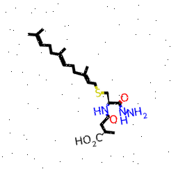 CC(C)=CCC/C(C)=C/CC/C(C)=C/CSC[C@H](NC(=O)C[C@H](C)C(=O)O)C(=O)NN